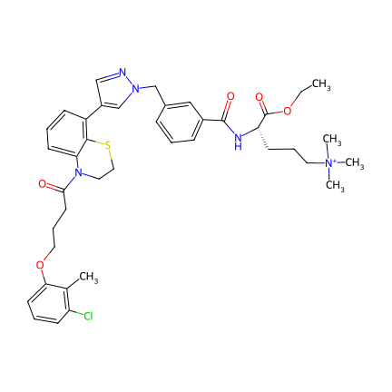 CCOC(=O)[C@H](CCC[N+](C)(C)C)NC(=O)c1cccc(Cn2cc(-c3cccc4c3SCCN4C(=O)CCCOc3cccc(Cl)c3C)cn2)c1